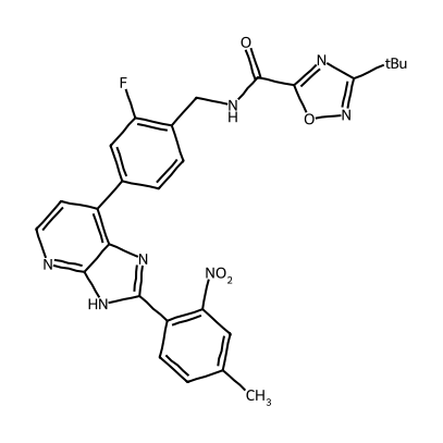 Cc1ccc(-c2nc3c(-c4ccc(CNC(=O)c5nc(C(C)(C)C)no5)c(F)c4)ccnc3[nH]2)c([N+](=O)[O-])c1